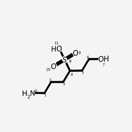 NCCCC(CCO)S(=O)(=O)O